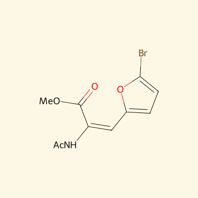 COC(=O)C(=Cc1ccc(Br)o1)NC(C)=O